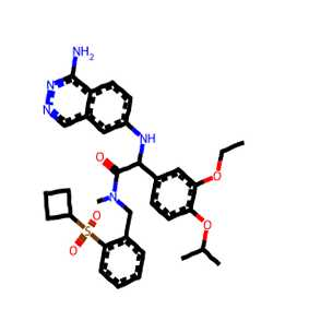 CCOc1cc(C(Nc2ccc3c(N)nncc3c2)C(=O)N(C)Cc2ccccc2S(=O)(=O)C2CCC2)ccc1OC(C)C